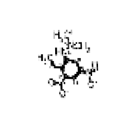 C=Cc1c(NN(C)C)cc([N+](=O)[O-])cc1[N+](=O)[O-]